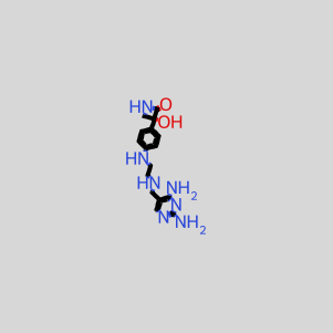 Nc1ncc(CNCCNc2ccc(C3(O)CNC3=O)cc2)c(N)n1